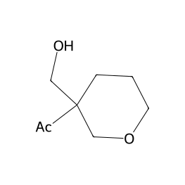 CC(=O)C1(CO)CCCOC1